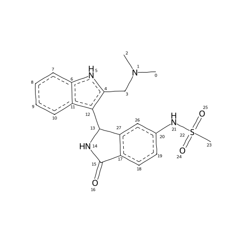 CN(C)Cc1[nH]c2ccccc2c1C1NC(=O)c2ccc(NS(C)(=O)=O)cc21